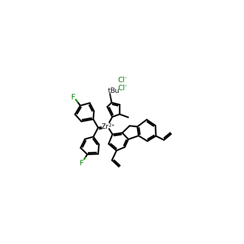 C=Cc1ccc2c(c1)-c1cc(C=C)c[c]([Zr+2]([C]3=CC(C(C)(C)C)=CC3C)=[C](c3ccc(F)cc3)c3ccc(F)cc3)c1C2.[Cl-].[Cl-]